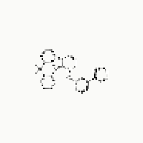 CC1(C)c2ccccc2-n2c3c(c4cccc1c42)C=CCN3Oc1cccc(-c2ccccn2)c1